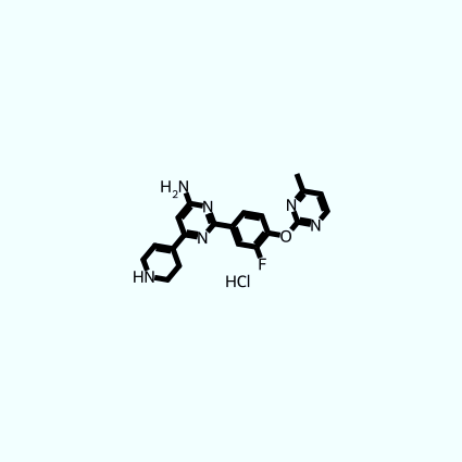 Cc1ccnc(Oc2ccc(-c3nc(N)cc(C4=CCNCC4)n3)cc2F)n1.Cl